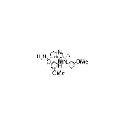 COc1cccc(NC(=O)c2cnc3ccc(C(N)=O)cc3c2Nc2cccc(OC)c2)c1